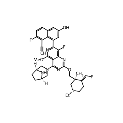 C#Cc1c(F)ccc2cc(O)cc(-c3nc(OC)c4c(N5C[C@H]6CC[C@@H](C5)N6)nc(OC[C@]5(C)CN(CC)CC/C5=C\F)nc4c3F)c12